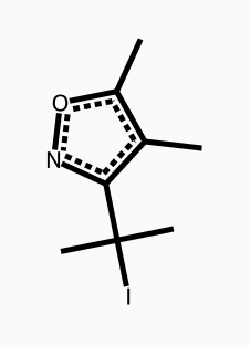 Cc1onc(C(C)(C)I)c1C